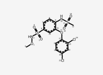 CONS(=O)(=O)c1ccc(NS(C)(=O)=O)c(Oc2ccc(Cl)cc2Cl)c1